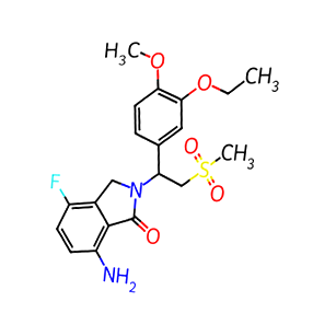 CCOc1cc(C(CS(C)(=O)=O)N2Cc3c(F)ccc(N)c3C2=O)ccc1OC